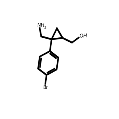 NCC1(c2ccc(Br)cc2)CC1CO